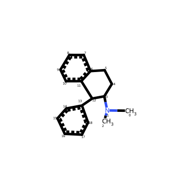 CN(C)C1CCc2ccccc2C1c1ccccc1